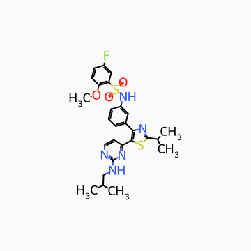 COc1ccc(F)cc1S(=O)(=O)Nc1cccc(-c2nc(C(C)C)sc2-c2ccnc(NCC(C)C)n2)c1